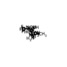 Cc1nc2ccc(-n3c(C(N)=O)nnc3[C@@H]3O[C@H](CO)[C@H](O)[C@H](n4cc(-c5cc(F)c(F)c(F)c5)nn4)[C@H]3O)cc2s1